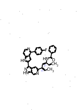 C=C/C(=C\C(=C/C)c1cc2c(-c3cc4c(-c5ccc(F)cc5)nccc4[nH]3)n[nH]c2cn1)NC(=O)c1ccccc1